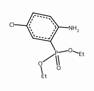 CCOP(=O)(OCC)c1cc(Cl)ccc1N